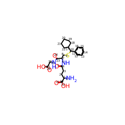 NC(CCC(=O)NC(CSC(c1ccccc1)C1CCCCC1)C(=O)NCC(=O)O)C(=O)O